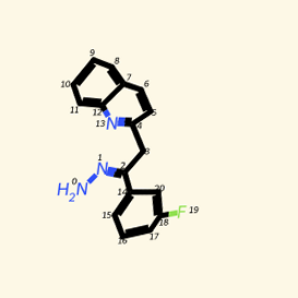 NN=C(Cc1ccc2ccccc2n1)c1cccc(F)c1